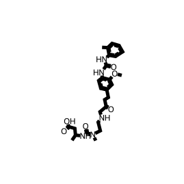 COc1cc(CCC(=O)CNCCN(C)C(=O)NC(C)CC(=O)O)ccc1NC(=O)Nc1ccccc1C